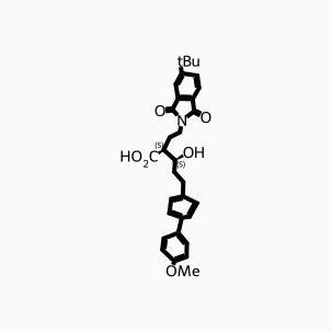 COc1ccc(-c2ccc(CC[C@H](O)[C@H](CCN3C(=O)c4ccc(C(C)(C)C)cc4C3=O)C(=O)O)cc2)cc1